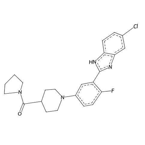 O=C(C1CCN(c2ccc(F)c(-c3nc4cc(Cl)ccc4[nH]3)c2)CC1)N1CCCC1